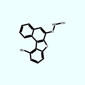 CC(C)(C)c1cccc2sc3c(OBO)cc4ccccc4c3c12